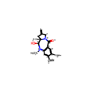 C=C1C[C@H]2[C@H](O)N(C(=O)O)c3cc(OC)c(OC)cc3C(=O)N2C1